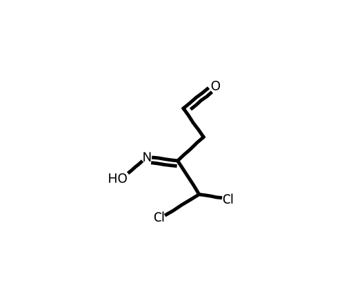 O=CCC(=NO)C(Cl)Cl